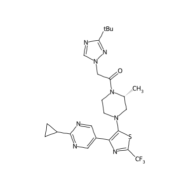 C[C@@H]1CN(c2sc(C(F)(F)F)nc2-c2cnc(C3CC3)nc2)CCN1C(=O)Cn1cnc(C(C)(C)C)n1